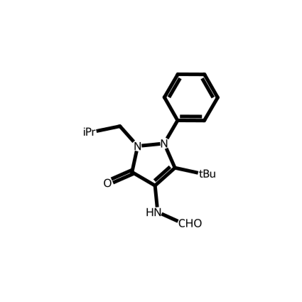 CC(C)Cn1c(=O)c(NC=O)c(C(C)(C)C)n1-c1ccccc1